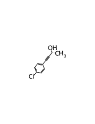 C[C@@H](O)C#Cc1ccc(Cl)cc1